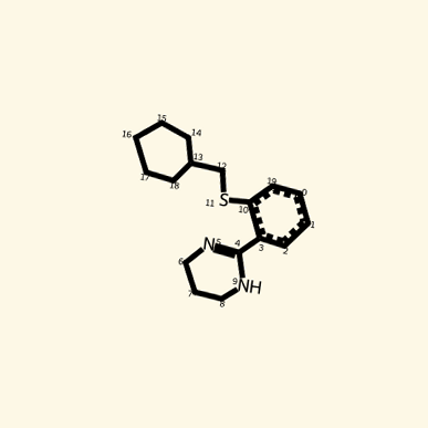 c1ccc(C2=NCCCN2)c(SCC2CCCCC2)c1